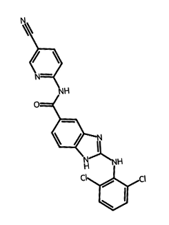 N#Cc1ccc(NC(=O)c2ccc3[nH]c(Nc4c(Cl)cccc4Cl)nc3c2)nc1